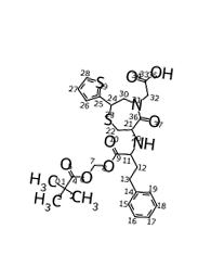 CC(C)(C)C(=O)OCOC(=O)C(CCc1ccccc1)NC1CSC(c2cccs2)CN(CC(=O)O)C1=O